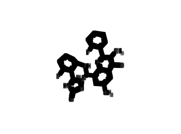 Cc1cc(C(C)Nc2cccc(F)c2-c2noc(=O)[nH]2)c2oc(-c3ccccc3F)c(C)c(=O)c2c1